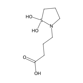 O=C(O)CCCN1CCCS1(O)O